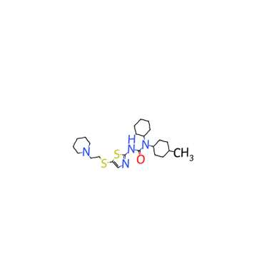 CC1CCC(N(C(=O)Nc2ncc(SCCN3CCCCC3)s2)C2CCCCC2)CC1